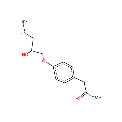 COC(=O)Cc1ccc(OC[C@@H](O)CNC(C)C)cc1